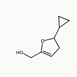 OCC1=CCC(C2CC2)O1